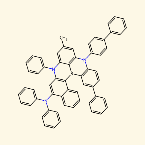 Cc1cc2c3c(c1)N(c1ccccc1)c1cc(N(c4ccccc4)c4ccccc4)c4ccccc4c1B3c1cc(-c3ccccc3)ccc1N2c1ccc(-c2ccccc2)cc1